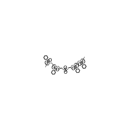 CC(C)=CC(C/C(C)=C/C(C/C(C)=C/CS(=O)(=O)C/C=C(\C)CC(/C=C(\C)CC(C=C(C)C)S(=O)(=O)c1ccccc1)S(=O)(=O)c1ccccc1)S(=O)(=O)c1ccccc1)S(=O)(=O)c1ccccc1